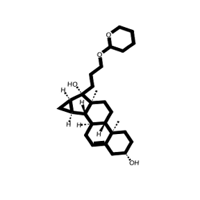 C[C@]12CC[C@H](O)CC1=CC[C@H]1[C@@H]3[C@H]4C[C@H]4[C@@](O)(CCCOC4CCCCO4)[C@@]3(C)CC[C@@H]12